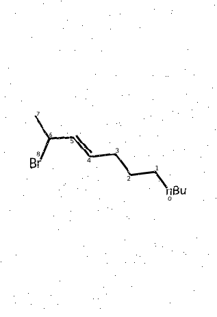 CCCCCCC/C=C/C(C)Br